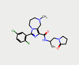 CN1CCCn2c(-c3cc(Cl)ccc3F)nc(C(=O)NC(CN3CCCC3=O)C(C)(C)C)c2C1